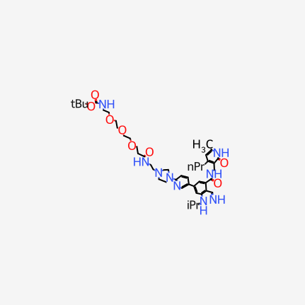 CCCc1cc(C)[nH]c(=O)c1CNC(=O)c1cc(-c2ccc(N3CCN(CCNC(=O)CCOCCOCCOCCNC(=O)OC(C)(C)C)CC3)nc2)cc(NC(C)C)c1C=N